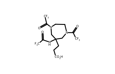 O=C(O)CCC1(NC(=O)C(F)(F)F)CN(C(=O)C(F)(F)F)CCN(C(=O)C(F)(F)F)C1